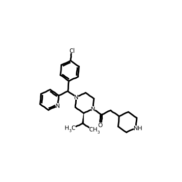 CC(C)[C@H]1CN(C(c2ccc(Cl)cc2)c2ccccn2)CCN1C(=O)CC1CCNCC1